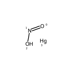 O=NO.[Hg]